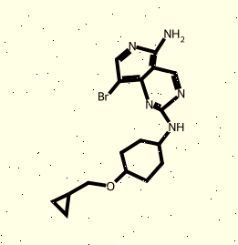 Nc1ncc(Br)c2nc(NC3CCC(OCC4CC4)CC3)ncc12